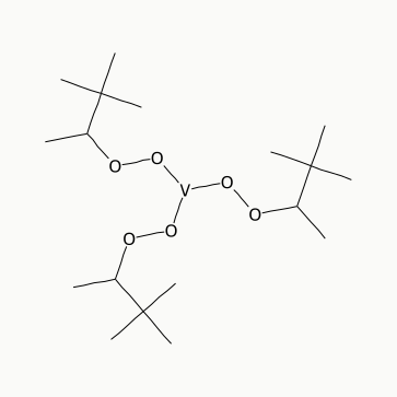 CC(O[O][V]([O]OC(C)C(C)(C)C)[O]OC(C)C(C)(C)C)C(C)(C)C